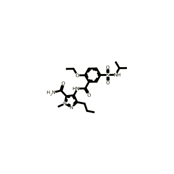 CCCc1nn(C)c(C(N)=O)c1NC(=O)c1cc(S(=O)(=O)NC(C)C)ccc1OCC